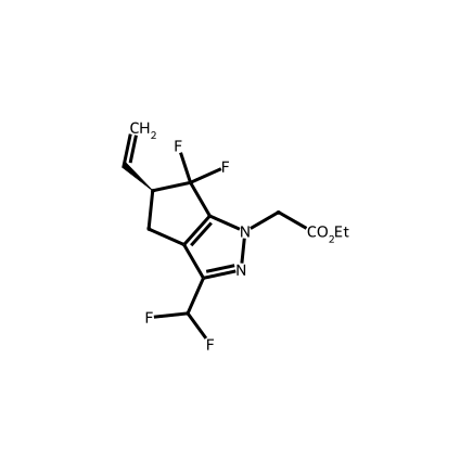 C=C[C@@H]1Cc2c(C(F)F)nn(CC(=O)OCC)c2C1(F)F